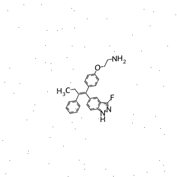 CCC(=C(c1ccc(OCCN)cc1)c1ccc2[nH]nc(F)c2c1)c1ccccc1